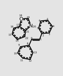 C(=Cc1ccccc1)c1ccccc1.c1ccc2ocnc2c1